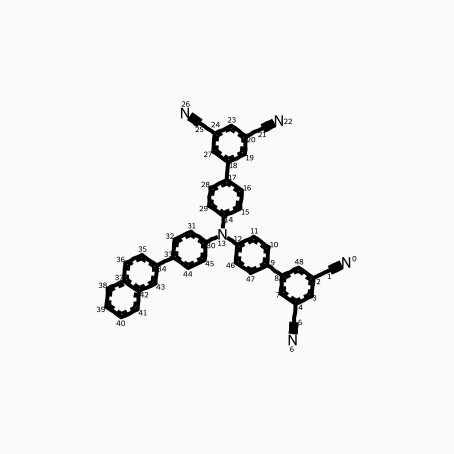 N#Cc1cc(C#N)cc(-c2ccc(N(c3ccc(-c4cc(C#N)cc(C#N)c4)cc3)c3ccc(-c4ccc5ccccc5c4)cc3)cc2)c1